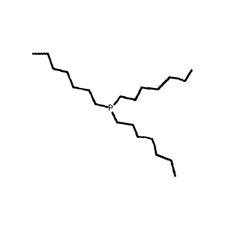 CCCCCCCP(CCCCCCC)CCCCCCC